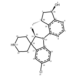 C[C@@H]1C[C@@H](O)c2ncnc(N3c4ccc(Cl)cc4C4(CCNCC4)[C@H]3C)c21